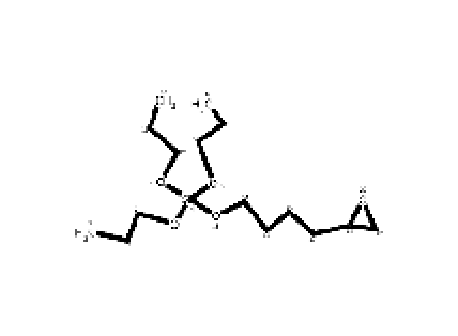 CCCO[Si](OCCC)(OCCC)OCCCCC1CO1